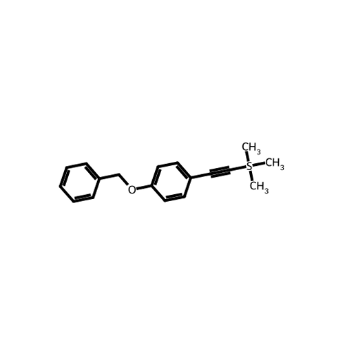 CS(C)(C)C#Cc1ccc(OCc2ccccc2)cc1